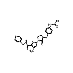 Cc1cc(N2CCN(Cc3ccc(NC(=O)O)cc3)C2=O)sc1C(=O)NCc1cccnc1